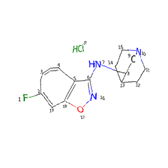 Cl.Fc1ccc2c(NC3CN4CCC3CC4)noc2c1